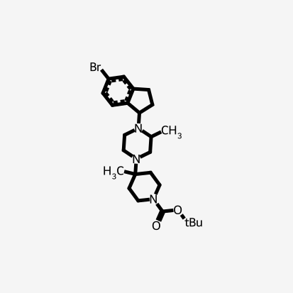 CC1CN(C2(C)CCN(C(=O)OC(C)(C)C)CC2)CCN1C1CCc2cc(Br)ccc21